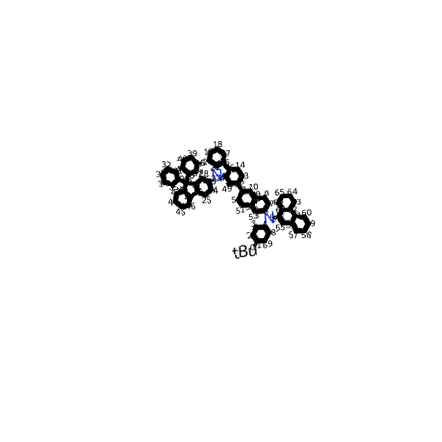 CC(C)(C)c1ccc(N(c2ccc3cc(-c4ccc5c6ccccc6n(-c6ccc7c(c6)C(c6ccccc6)(c6ccccc6)c6ccccc6-7)c5c4)ccc3c2)c2cc3ccccc3c3ccccc23)cc1